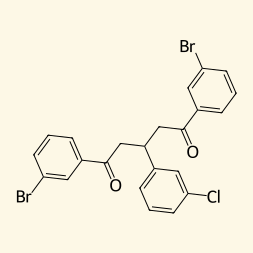 O=C(CC(CC(=O)c1cccc(Br)c1)c1cccc(Cl)c1)c1cccc(Br)c1